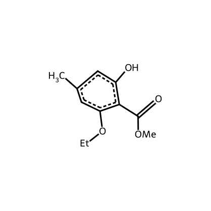 CCOc1cc(C)cc(O)c1C(=O)OC